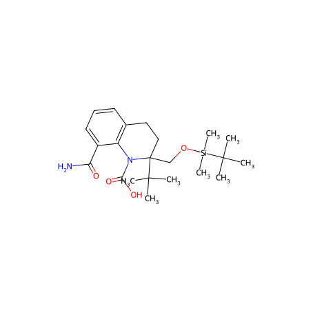 CC(C)(C)C1(CO[Si](C)(C)C(C)(C)C)CCc2cccc(C(N)=O)c2N1C(=O)O